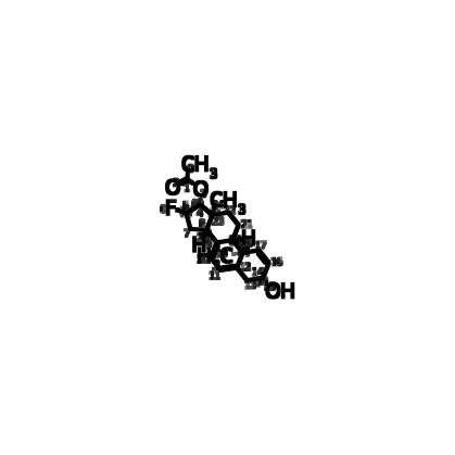 CC(=O)O[C@H]1[C@H](F)C[C@H]2C3=CC=C4C[C@@H](O)C=C[C@]4(C)[C@H]3CC[C@@]21C